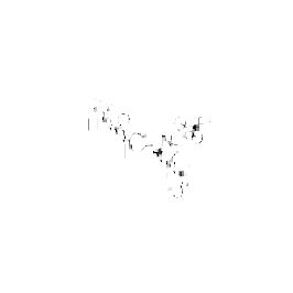 CC(C)S(=O)(=O)C(C)(C)c1cc(N2CCOC[C@@H]2C)nc(-c2ccc(NC(=O)NC3CCC3)cc2)n1